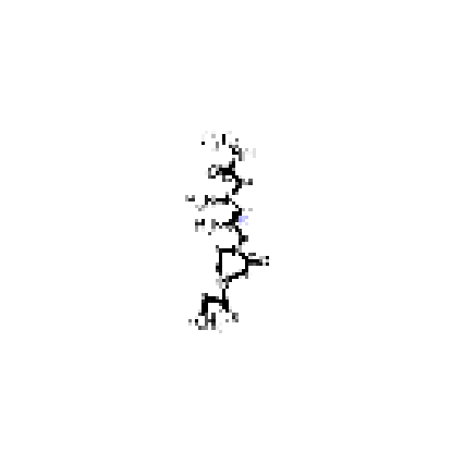 C=CC(=O)N1CCN(C/C(N)=C/N(N)CC(=O)NC)C(=O)C1